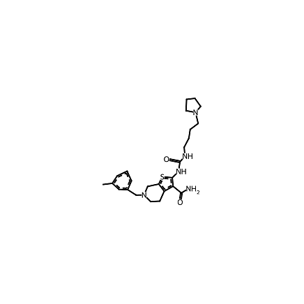 Cc1cccc(CN2CCc3c(sc(NC(=O)NCCCCN4CCCC4)c3C(N)=O)C2)c1